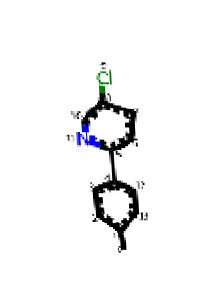 Cc1ccc(-c2ccc(Cl)cn2)cc1